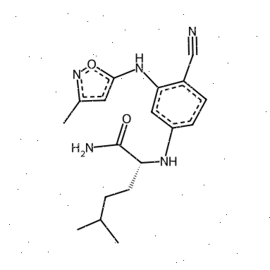 Cc1cc(Nc2cc(N[C@H](CCC(C)C)C(N)=O)ccc2C#N)on1